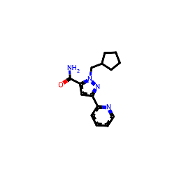 NC(=O)c1cc(-c2ccccn2)nn1CC1CCCC1